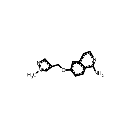 Cn1cc(COc2ccc3c(N)nccc3c2)cn1